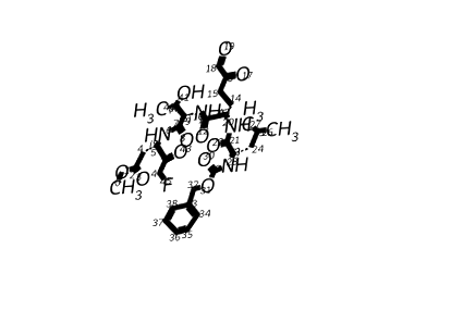 COC(=O)C[C@H](NC(=O)[C@@H](NC(=O)[C@H](CCC(=O)C=O)NC(=O)[C@H](CC(C)C)NC(=O)OCc1ccccc1)[C@@H](C)O)C(=O)CF